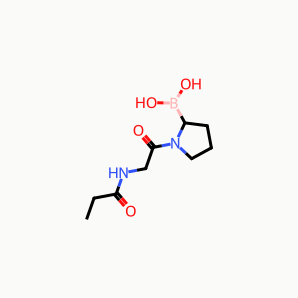 CCC(=O)NCC(=O)N1CCCC1B(O)O